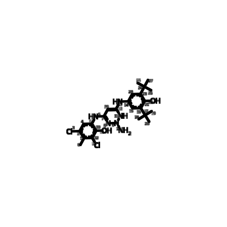 Cc1c(Cl)cc(NC2=NN(N)NC(Nc3cc(C(C)(C)C)c(O)c(C(C)(C)C)c3)=C2)c(O)c1Cl